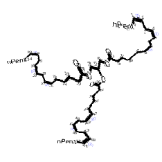 CCCCC/C=C\C/C=C\C/C=C\CCCCC(=O)OCC(COC(=O)CCCC/C=C\C/C=C\C/C=C\CCCCC)OC(=O)CCCC/C=C\C/C=C\C/C=C\CCCCC